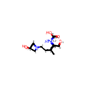 CC(CCN1CC(O)C1)C(C=O)NC(=O)O